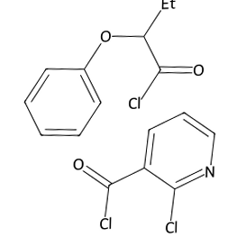 CCC(Oc1ccccc1)C(=O)Cl.O=C(Cl)c1cccnc1Cl